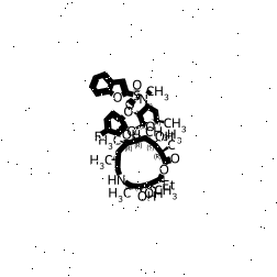 CC[C@H]1OC(=O)[C@H](C)[C@@H](O)[C@H](C)[C@@H](O[C@@H]2O[C@H](C)C[C@H](N(C)S(=O)(=O)c3cc4ccccc4o3)[C@H]2Oc2ccc(F)cc2)[C@](C)(O)C[C@@H](C)CN[C@H](C)[C@@H](O)[C@]1(C)O